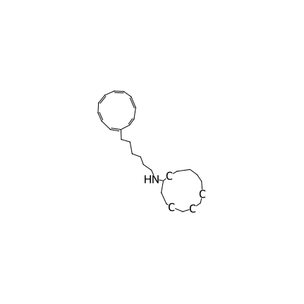 C1=C\C=C/C=C\C(CCCCCCNC2CCCCCCCCCCCC2)=C/C=C\C=C/1